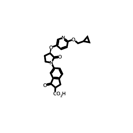 O=C(O)C1Cc2ccc(N3CC[C@@H](Oc4ccc(OCC5CC5)nc4)C3=O)cc2C1=O